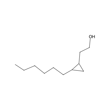 CCCCCCC1CC1CCO